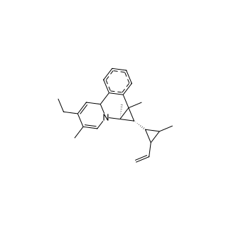 C=CC1C(C)C1[C@H]1C2(C)c3ccccc3C3C=C(CC)C(C)=CN3[C@]12C